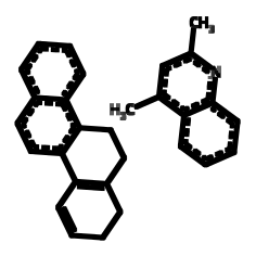 C1=CC2=C(CC1)CCc1c2ccc2ccccc12.Cc1cc(C)c2ccccc2n1